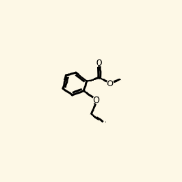 [CH2]COc1ccccc1C(=O)OC